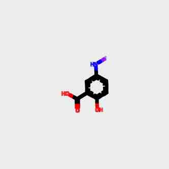 O=C(O)c1cc(NI)ccc1O